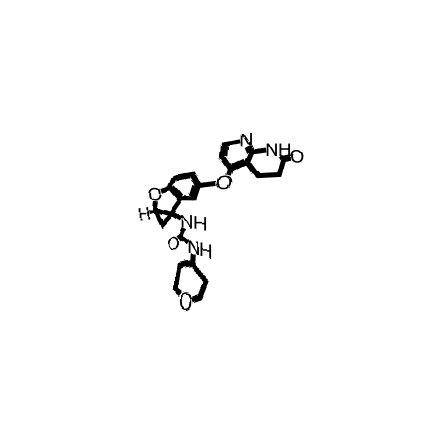 O=C1CCc2c(Oc3ccc4c(c3)C3(NC(=O)NC5CCOCC5)C[C@@H]3O4)ccnc2N1